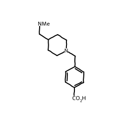 CNCC1CCN(Cc2ccc(C(=O)O)cc2)CC1